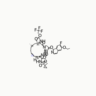 CCOc1cc2ccnc(O[C@@H]3C[C@H]4C(=O)N[C@]5(C(=O)NS(=O)(=O)C6(C)CC6)C[C@H]5/C=C\CC[C@H](C)C[C@@H](C)[C@H](NC(=O)OCC(F)(F)F)C(=O)N4C3)c2cc1F